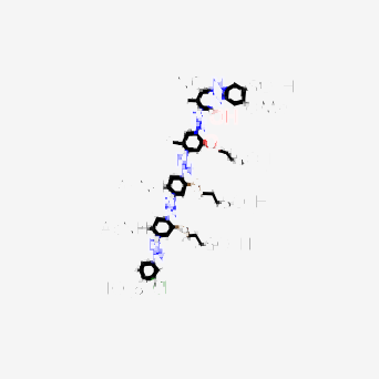 COc1cc2c(cc1S(=O)(=O)O)nc1c(C#N)c(C)c(N=Nc3cc(C)c(N=Nc4cc(NC(C)=O)c(N=Nc5cc(NC(C)=O)c(N=Nc6ccc(S(=O)(=O)O)c(Cl)c6)cc5SCCCS(=O)(=O)O)cc4SCCCS(=O)(=O)O)cc3OCCCS(=O)(=O)O)c(O)n12